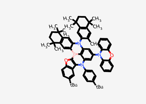 Cc1cc2c(cc1N1c3cc4c(cc3B3c5oc6ccc(C(C)(C)C)cc6c5N(c5ccc(C(C)(C)C)cc5)c5cc(N6c7ccccc7Oc7ccccc76)cc1c53)C(C)(C)CCC4(C)C)C(C)(C)CCC2(C)C